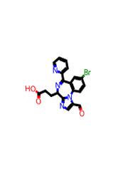 O=Cc1cnc2n1-c1ccc(Br)cc1C(c1ccccn1)=NC2CCC(=O)O